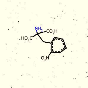 NC(Cc1ccccc1[N+](=O)[O-])(C(=O)O)C(=O)O